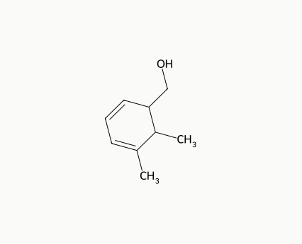 CC1=CC=CC(CO)C1C